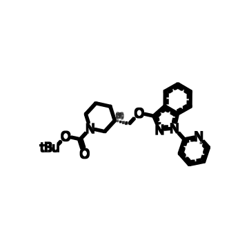 CC(C)(C)OC(=O)N1CCC[C@H](COc2nn(-c3ccccn3)c3ccccc23)C1